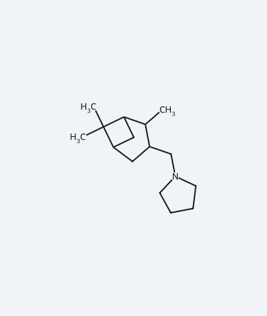 CC1C(CN2CCCC2)CC2CC1C2(C)C